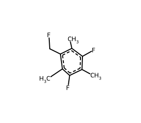 Cc1c(F)c(C)c(CF)c(C)c1F